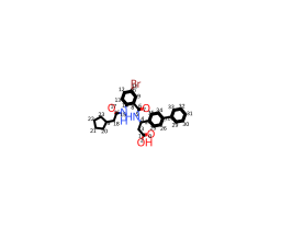 O=C(O)CC(NC(=O)c1cc(Br)ccc1NC(=O)CC1CCCC1)c1ccc(-c2ccccc2)cc1